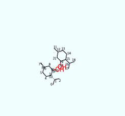 CC(C)[C@@H]1CC[C@@H](C)C[C@H]1O.CC1CCC(C(C)C)C(O)C1